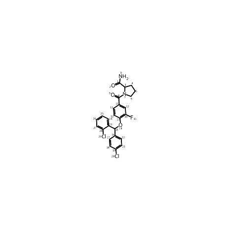 NC(=O)C1CCCN1C(=O)c1ccc(OC(c2ccc(Cl)cc2)c2ccccc2Cl)c(F)c1